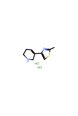 Cc1nc(C2=CCCNC2)cs1.Cl.Cl